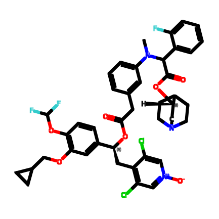 CN(c1cccc(CC(=O)O[C@@H](Cc2c(Cl)c[n+]([O-])cc2Cl)c2ccc(OC(F)F)c(OCC3CC3)c2)c1)C(C(=O)O[C@H]1CN2CCC1CC2)c1ccccc1F